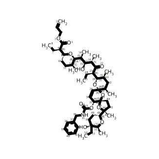 C=CCOC(=O)[C@H](CC)[C@H]1CC[C@H](C)[C@H]([C@@H](C)[C@H](O)[C@H](C)C(=O)[C@H](CC)[C@H]2O[C@]3(C=C[C@@H](OC(=O)NCc4ccccc4)[C@]4(CC[C@@](C)([C@H]5CC[C@](O)(CC)[C@H](C)O5)O4)O3)[C@H](C)C[C@@H]2C)O1